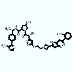 Cc1ncsc1-c1ccc([C@H](C)NC(=O)C2CC(O)CN2C(=O)[C@@H](c2cc(OCCN3CC(c4cc5nnc(-c6ccccc6O)cc5[nH]4)C3)no2)C(C)C)cc1